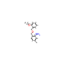 Cc1ccc(COCc2ccccc2OC(F)(F)F)c(N)c1